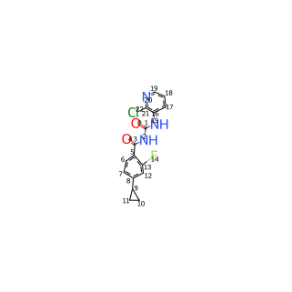 O=C(NC(=O)c1ccc(C2CC2)cc1F)Nc1cccnc1Cl